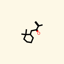 C=C(C)C(=O)CC1CCCCC1(C)C